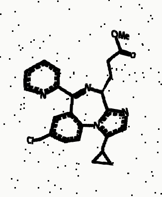 COC(=O)CC[C@@H]1N=C(c2ccccn2)c2cc(Cl)ccc2-n2c(C3CC3)cnc21